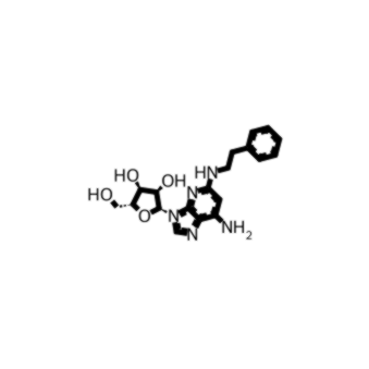 Nc1cc(NCCc2ccccc2)nc2c1ncn2[C@@H]1O[C@H](CO)[C@@H](O)[C@H]1O